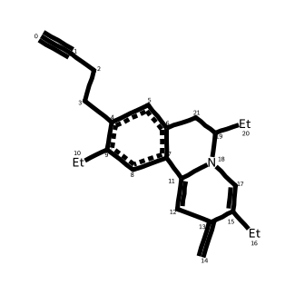 C#CCCc1cc2c(cc1CC)C1=CC(=C)C(CC)=CN1C(CC)C2